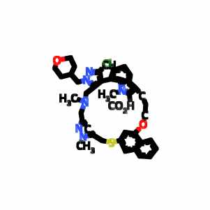 Cc1nn(CC2CCOCC2)c2c1-c1c(Cl)ccc3c(c(C(=O)O)n(C)c13)CCCOc1cc(cc3ccccc13)SCc1cc(nn1C)CN(C)C2